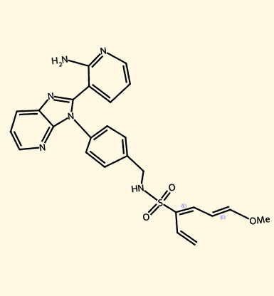 C=C/C(=C\C=C\OC)S(=O)(=O)NCc1ccc(-n2c(-c3cccnc3N)nc3cccnc32)cc1